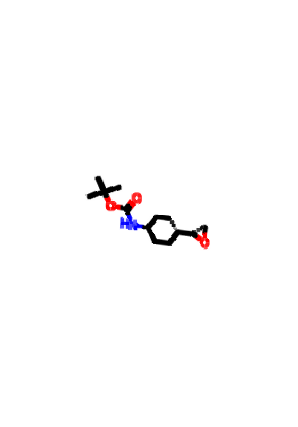 CC(C)(C)OC(=O)N[C@H]1CC[C@H]([C@@H]2CO2)CC1